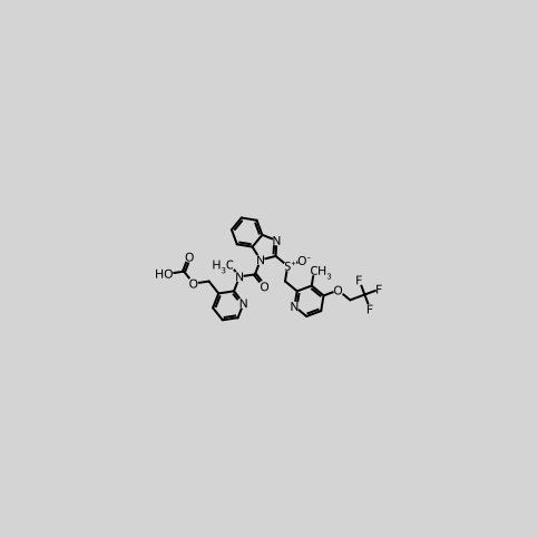 Cc1c(OCC(F)(F)F)ccnc1C[S@@+]([O-])c1nc2ccccc2n1C(=O)N(C)c1ncccc1COC(=O)O